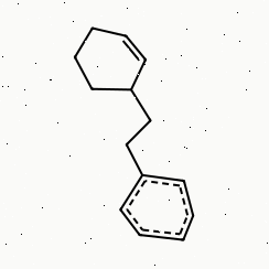 C1=CC(CCc2ccccc2)CCC1